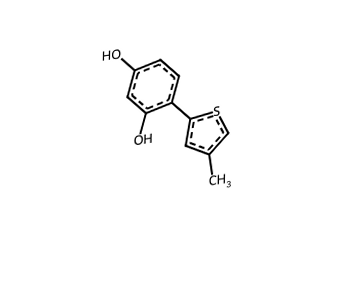 Cc1csc(-c2ccc(O)cc2O)c1